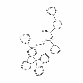 NC(/C=C(\N=C\Nc1cc2c(cc1-c1ccccc1)-c1ccccc1C2(c1ccccc1)c1ccccc1)C1C=CC=CC1)c1cccc(-c2ccccc2)c1